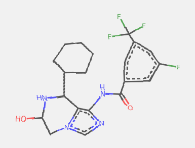 O=C(Nc1ncn2c1C(C1CCCCC1)NC(O)C2)c1cc(F)cc(C(F)(F)F)c1